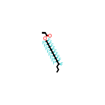 C=CC(=O)OC(F)(F)C(F)(F)C(F)(F)C(F)(F)C(F)(F)C(F)(F)C(F)(F)C(F)(F)C(F)CCC